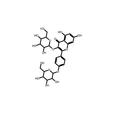 O=c1c(OC2OC(CO)C(O)C(O)C2O)c(-c2ccc(OC3OC(CO)C(O)C(O)C3O)cc2)oc2cc(O)cc(O)c12